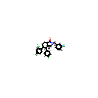 O=C1C2CCC(c3ccc(Cl)cc3Cl)C(c3ccc(Cl)cc3)[C@H]2CN1Cc1ccc(F)c(F)c1